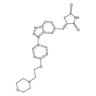 O=C1NC(=O)/C(=C/c2ccc3ncn(-c4ccc(OCCN5CCOCC5)cc4)c3c2)S1